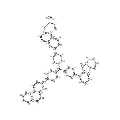 CC1C=Cc2c(ccc3cc(-c4ccc(N(c5ccc(-c6ccc7c(ccc8ccccc87)c6)cc5)c5ccc(-c6cccc7c6OC6C=CC=CC76)cc5)cc4)ccc23)C1